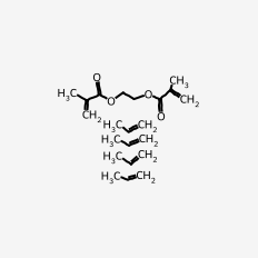 C=C(C)C(=O)OCCOC(=O)C(=C)C.C=CC.C=CC.C=CC.C=CC